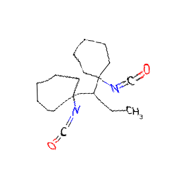 CCC(C1(N=C=O)CCCCC1)C1(N=C=O)CCCCC1